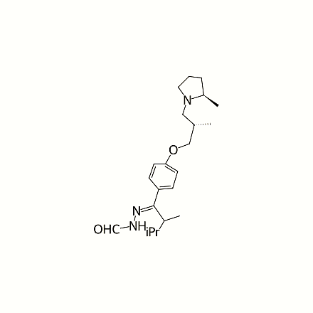 CC(C)C(C)/C(=N\NC=O)c1ccc(OC[C@@H](C)CN2CCC[C@H]2C)cc1